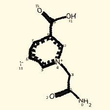 NC(=O)C[n+]1cccc(C(=O)O)c1.[I-]